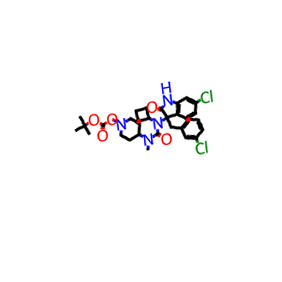 CN(C(=O)N(C1CCC1)C1(Cc2cccc(Cl)c2)C(=O)Nc2cc(Cl)ccc21)C1CCN(OC(=O)OC(C)(C)C)CC1